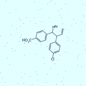 C=CC(c1ccc(Cl)cc1)C(CCC)c1ccc(C(=O)O)cc1